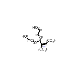 O=C(O)/C=C(/C(=O)O)N(OCCO)OCCO